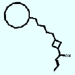 OC(/C=C/I)C1CC(CCCCCC2CCCCCCCCCCC2)C1